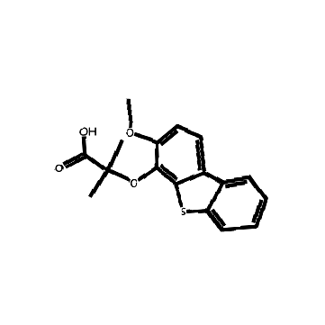 COc1ccc2c(sc3ccccc32)c1OC(C)(C)C(=O)O